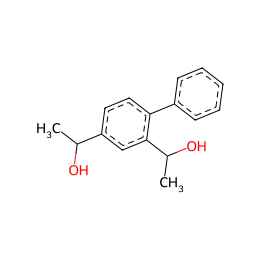 CC(O)c1ccc(-c2ccccc2)c(C(C)O)c1